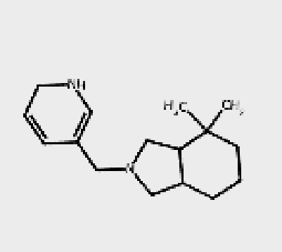 CC1(C)CCCC2CN(CC3=CNCC=C3)CC21